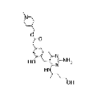 Cc1nc(N)nc(NC(C)CCCO)c1Cc1ccc(CC(=O)OCC2CCN(C)CC2)cc1O